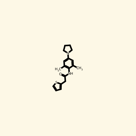 Cc1cc(N2CCCC2)cc(C)c1NC(=O)Cc1cccs1